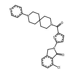 O=C(c1ccc(N2Cc3cccc(Cl)c3C2=O)s1)N1CCC2(CC1)CCN(c1ccncc1)CC2